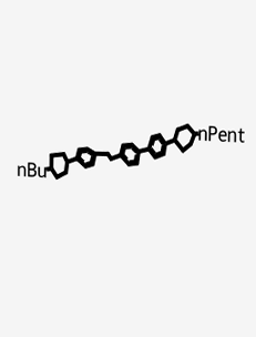 CCCCCC1CCC(c2ccc(-c3ccc(CCc4ccc(C5CCC(CCCC)CC5)cc4)cc3)cc2)CC1